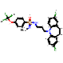 CN=S(=O)(NCCCN1c2ccc(Cl)cc2CCc2cc(Cl)ccc21)c1ccc(OC(F)(F)F)cc1